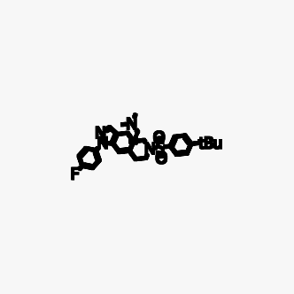 CN(C)C[C@]12Cc3cnn(-c4ccc(F)cc4)c3C=C1CCN(S(=O)(=O)c1ccc(C(C)(C)C)cc1)C2